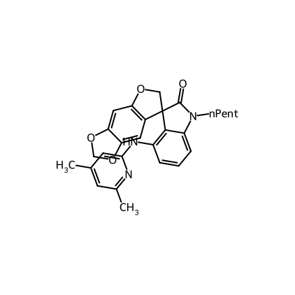 CCCCCN1C(=O)C2(COc3cc4c(cc32)OCO4)c2c(Nc3cc(C)cc(C)n3)cccc21